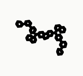 c1ccc(-c2cccc(-c3ccc(N(c4ccc5c(ccc6cc(N(c7ccc(-c8cccc(-c9ccccc9)c8)cc7)c7cccc8ccccc78)ccc65)c4)c4cccc5ccccc45)cc3)c2)cc1